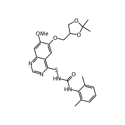 COc1cc2ncnc(SNC(=O)Nc3c(C)cccc3C)c2cc1OCC1COC(C)(C)O1